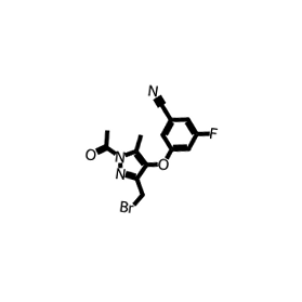 CC(=O)n1nc(CBr)c(Oc2cc(F)cc(C#N)c2)c1C